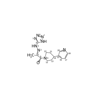 CC(=NNc1nnn[nH]1)C(=O)N1CCC(c2cccnc2)CC1